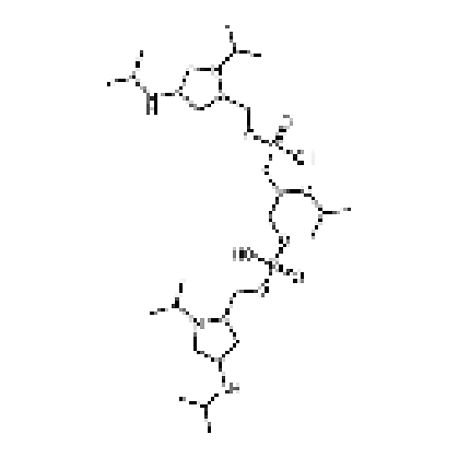 CC(C)NC1CC(COP(=O)(O)CC(COP(=O)(O)OCC2CC(NC(C)C)CN2C(C)C)OC(C)C)N(C(C)C)C1